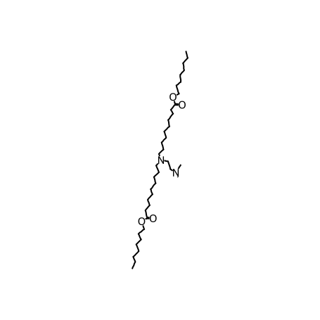 CCCCCCCCOC(=O)CCCCCCCCCN(CCCCCCCCCC(=O)OCCCCCCCC)CCN(C)C